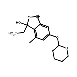 Cc1cc(OC2CCCCO2)cc2c1C(O)(CC(=O)O)OB2